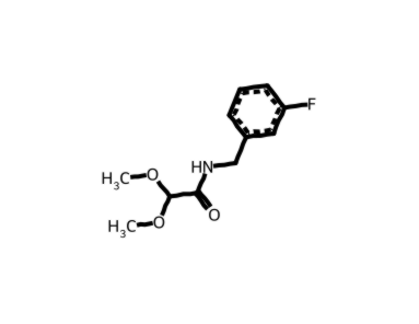 COC(OC)C(=O)NCc1cccc(F)c1